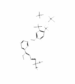 CCC(=CC=CC(O)(C(F)(F)F)C(F)(F)F)c1cccc(OCc2ccc(C(C)(C)O[SiH2]C(C)(C)C)c(C(C)(C)O[SiH2]C(C)(C)C)c2)c1